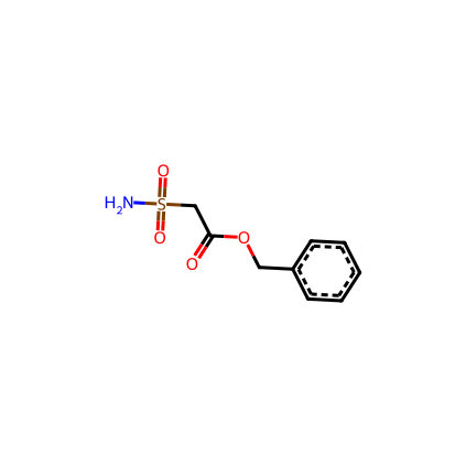 NS(=O)(=O)CC(=O)OCc1ccccc1